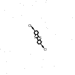 ClC#Cc1ccc2c(c1)sc1c3ccc(C#CCl)cc3sc21